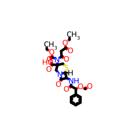 CCOC(=O)CC(=O)N(C(=O)OCC)C1(C(=O)O)CS[C@@H]2C(NC(=O)C(OC=O)c3ccccc3)C(=O)N2C1